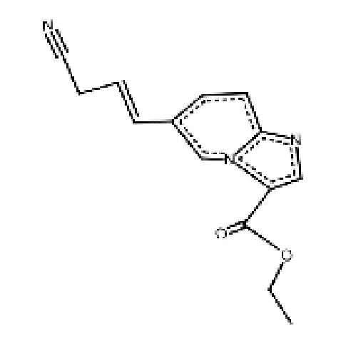 CCOC(=O)c1cnc2ccc(C=CCC#N)cn12